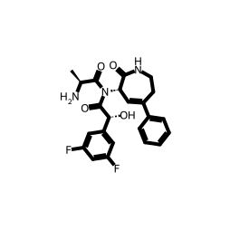 C[C@H](N)C(=O)N(C(=O)[C@H](O)c1cc(F)cc(F)c1)[C@H]1C=C(c2ccccc2)CCNC1=O